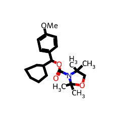 COc1ccc(C(OC(=O)N2C(C)(C)COC2(C)C)C2CCCCC2)cc1